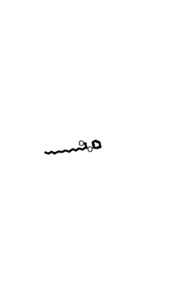 CCCCCCCCCCCCC(C=O)Oc1ccccc1